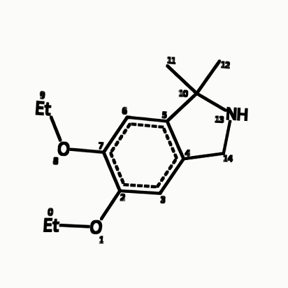 CCOc1cc2c(cc1OCC)C(C)(C)NC2